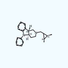 C[C@@H]1C(CN2CC[C@@H]3[C@@H](C2)c2ccccc2N3c2ccccc2)[C@@H]1C